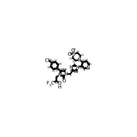 O=c1n(Cc2ncn(-c3cnccc3N3CCS(=O)(=O)CC3)n2)nc(-c2ccc(Cl)cc2)n1CC(O)C(F)(F)F